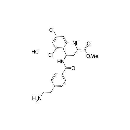 COC(=O)[C@@H]1C[C@@H](NC(=O)c2ccc(CCN)cc2)c2c(Cl)cc(Cl)cc2N1.Cl